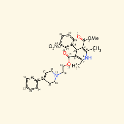 COC(=O)C1=C(C)NC(C)=C(C(=O)OCCN2CC=C(c3ccccc3)CC2)C1c1cccc([N+](=O)[O-])c1